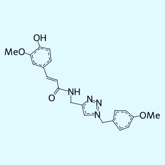 COc1ccc(Cn2cc(CNC(=O)/C=C/c3ccc(O)c(OC)c3)nn2)cc1